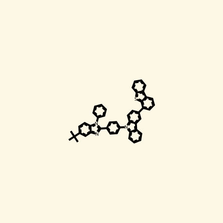 CC(C)(C)c1ccc2c(c1)nc(-c1ccc(-n3c4ccccc4c4cc(-c5cccc6c5sc5ccccc56)ccc43)cc1)n2-c1ccccc1